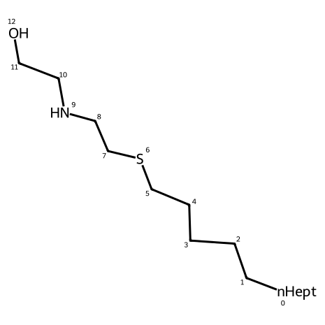 CCCCCCCCCCCCSCCNCCO